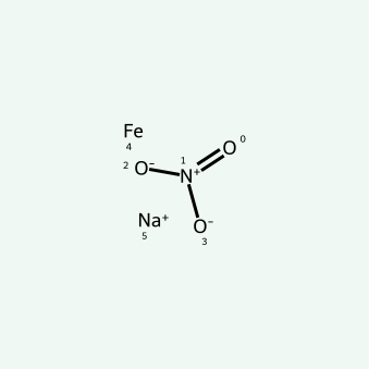 O=[N+]([O-])[O-].[Fe].[Na+]